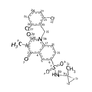 Cn1c(=O)c2cc(S(=O)(=O)NC3(C)CC3)ccc2n(Cc2c(Cl)cccc2Cl)c1=O